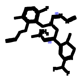 C=CCCc1c(C)ccc(F)c1CN(/C=N\N=C)C/C(=C\N(C)N)C1=CC(C(F)F)=NCC1C